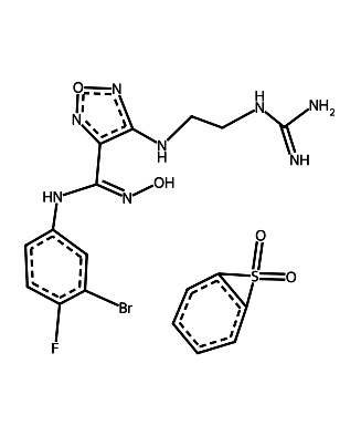 N=C(N)NCCNc1nonc1C(=NO)Nc1ccc(F)c(Br)c1.O=S1(=O)c2ccccc21